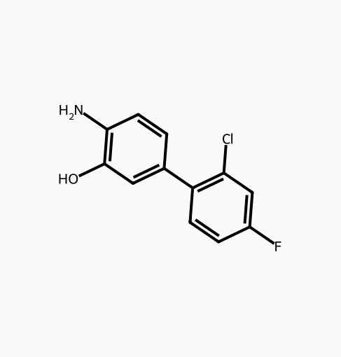 Nc1ccc(-c2ccc(F)cc2Cl)cc1O